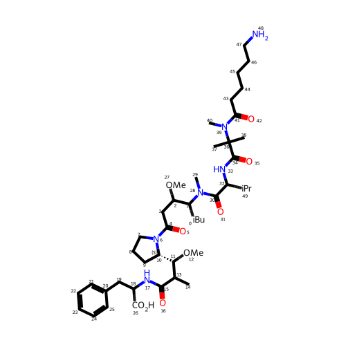 CCC(C)C(C(CC(=O)N1CCC[C@H]1C(OC)C(C)C(=O)NC(Cc1ccccc1)C(=O)O)OC)N(C)C(=O)C(NC(=O)C(C)(C)N(C)C(=O)CCCCCN)C(C)C